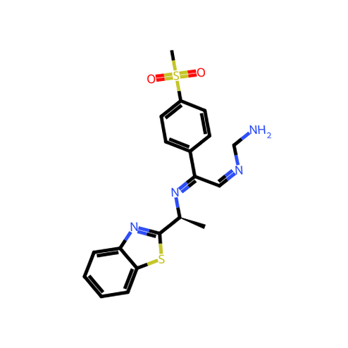 C[C@H](/N=C(\C=N/CN)c1ccc(S(C)(=O)=O)cc1)c1nc2ccccc2s1